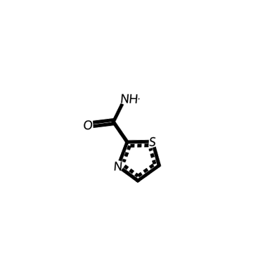 [NH]C(=O)c1nccs1